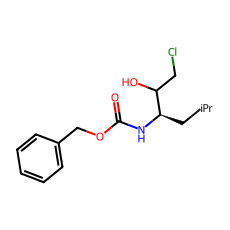 CC(C)C[C@@H](NC(=O)OCc1ccccc1)C(O)CCl